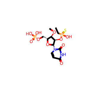 CCP(O)(=S)O[C@@H]1[C@H](OC)[C@@H](COP(=O)(O)O)O[C@H]1n1ccc(=O)[nH]c1=O